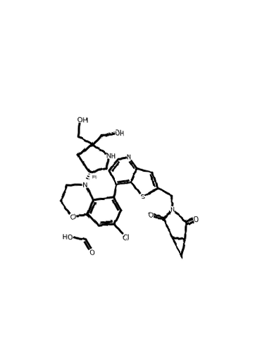 O=C1C2CC2C(=O)N1Cc1cc2nccc(-c3cc(Cl)cc4c3N([C@H]3CNC(CO)(CO)C3)CCO4)c2s1.O=CO